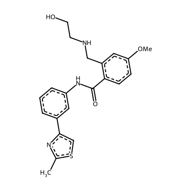 COc1ccc(C(=O)Nc2cccc(-c3csc(C)n3)c2)c(CNCCO)c1